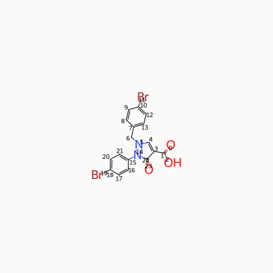 O=C(O)c1cn(Cc2ccc(Br)cc2)n(-c2ccc(Br)cc2)c1=O